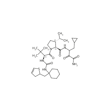 CC(C)[C@H]1CCN(C(=O)[C@@H](NC(=O)NC2(CC3CC=CS3)CCCCC2)C(C)(C)C)[C@@H]1C(=O)NC(CC1CC1)C(=O)C(N)=O